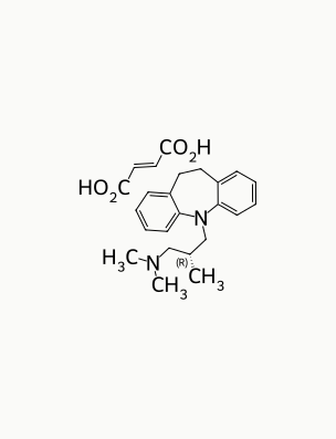 C[C@H](CN(C)C)CN1c2ccccc2CCc2ccccc21.O=C(O)C=CC(=O)O